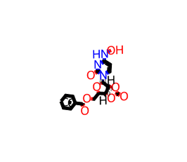 O=C1O[C@@H]2[C@H](O1)C(COC(=O)C13CCC(CC1)CC3)O[C@H]2n1ccc(NO)nc1=O